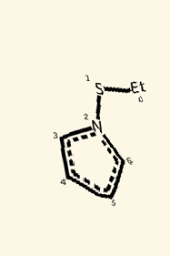 CCSn1cccc1